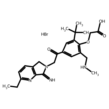 Br.CCc1ccc2c(n1)C(=N)N(CC(=O)c1cc(CNC)c(OCC(=O)O)c(C(C)(C)C)c1)C2